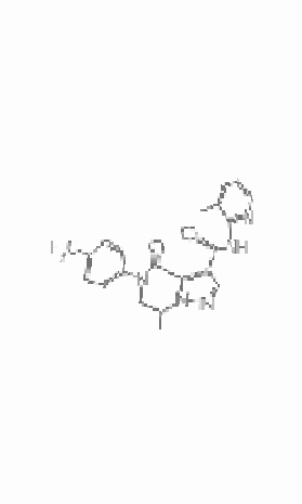 Cc1cccnc1NC(=O)c1cnn2c1C(=O)N(c1ccc(C(F)(F)F)cc1)C[C@@H]2C